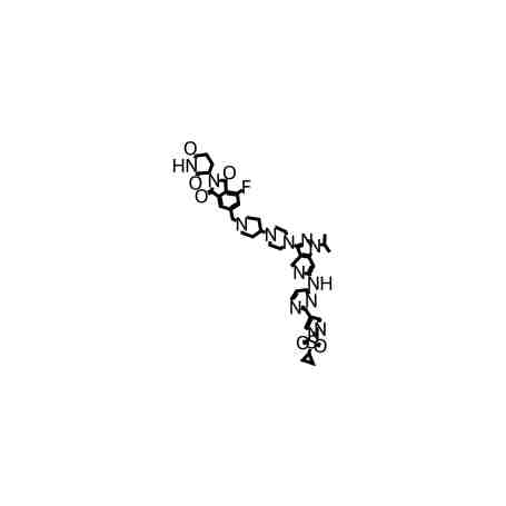 CC(C)n1nc(N2CCN(C3CCN(Cc4cc(F)c5c(c4)C(=O)N(C4CCC(=O)NC4=O)C5=O)CC3)CC2)c2cnc(Nc3ccnc(-c4cnn(S(=O)(=O)C5CC5)c4)n3)cc21